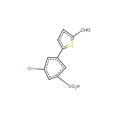 O=Cc1ccc(-c2cc(Cl)cc(C(=O)O)c2)s1